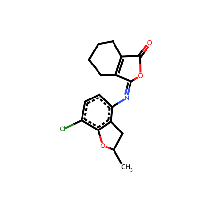 CC1Cc2c(/N=C3/OC(=O)C4=C3CCCC4)ccc(Cl)c2O1